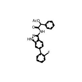 CC(=O)OC(C(=O)Nc1n[nH]c2cc(-c3ccccc3F)ccc12)c1ccccc1